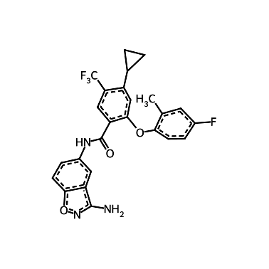 Cc1cc(F)ccc1Oc1cc(C2CC2)c(C(F)(F)F)cc1C(=O)Nc1ccc2onc(N)c2c1